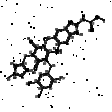 COC(=O)Nc1nc2cc(Cl)c(Nc3nc(=O)n(Cc4ncn(C)n4)c(=O)n3Cc3cc(F)c(F)cc3F)cc2s1